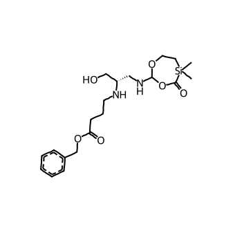 C[Si]1(C)CCOC(NC[C@@H](CO)NCCCC(=O)OCc2ccccc2)OC1=O